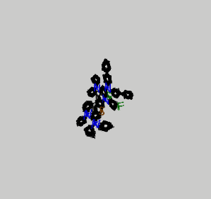 Fc1ccc(N2c3cc4c(cc3B3c5ccccc5N(c5ccccc5)c5cc(N(c6ccc(-c7ccccc7)cc6)c6ccc(-c7ccccc7)cc6)cc2c53)B2c3ccccc3N(c3ccccc3)c3cc(N(c5ccccc5)c5ccccc5)cc(c32)S4)c(F)c1